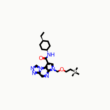 CC[C@H]1CC[C@H](NC(=O)c2cn(COCC[Si](C)(C)C)c3ncc4nncn4c23)CC1